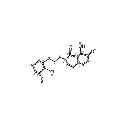 O=c1ccn2ccn(CCCc3cccc(Cl)c3Cl)c(=O)c2c1O